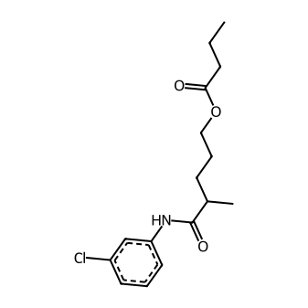 CCCC(=O)OCCCC(C)C(=O)Nc1cccc(Cl)c1